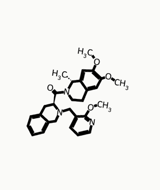 COc1cc2c(cc1OC)[C@@H](C)N(C(=O)[C@@H]1Cc3ccccc3CN1Cc1cccnc1OC)CC2